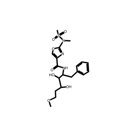 COCCC(O)C(O)C(Cc1ccccc1)NC(=O)c1coc(N(C)S(C)(=O)=O)n1